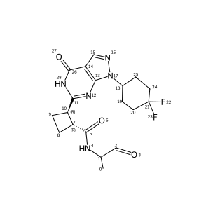 CC(C=O)NC(=O)[C@@H]1CC[C@H]1c1nc2c(cnn2C2CCC(F)(F)CC2)c(=O)[nH]1